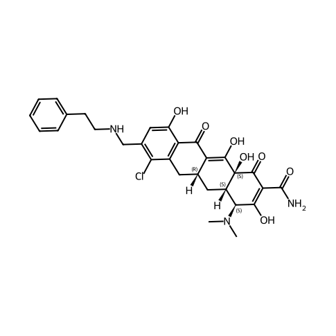 CN(C)[C@@H]1C(O)=C(C(N)=O)C(=O)[C@@]2(O)C(O)=C3C(=O)c4c(O)cc(CNCCc5ccccc5)c(Cl)c4C[C@H]3C[C@@H]12